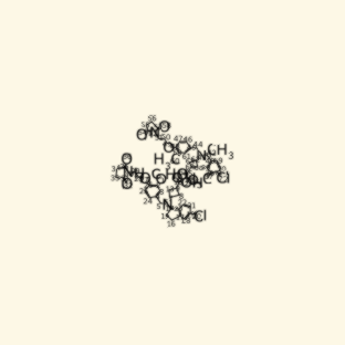 COc1cc(CN(C2CC(C(=O)O)C2)C2CCc3cc(Cl)ccc32)ccc1OCCN1C(=O)CCC1=O.Cc1cc([C@@H](C)N(Cc2ccc(OCCN3C(=O)CCC3=O)c(C)c2)[C@H]2C[C@H](C(=O)O)C2)ccc1Cl